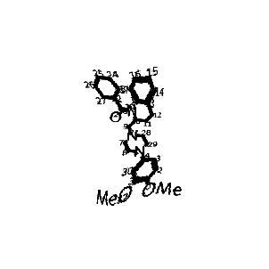 COc1ccc(N2CCN(CC3CCc4ccccc4N3C(=O)C3CCCCC3)CC2)cc1OC